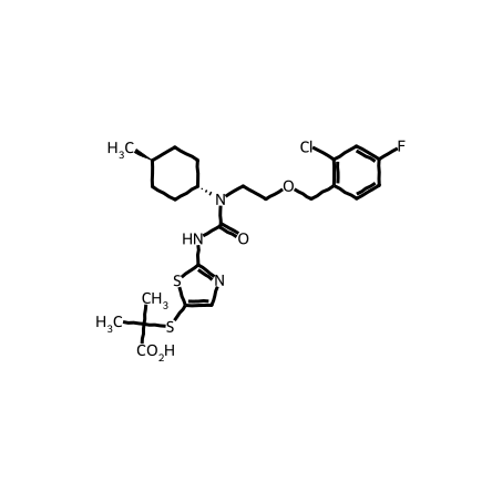 CC(C)(Sc1cnc(NC(=O)N(CCOCc2ccc(F)cc2Cl)[C@H]2CC[C@H](C)CC2)s1)C(=O)O